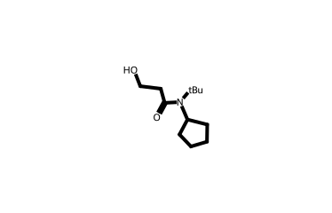 CC(C)(C)N(C(=O)CCO)C1CCCC1